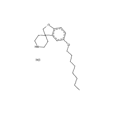 CCCCCCCCOc1ccc2c(c1)C1(CCNCC1)CO2.Cl